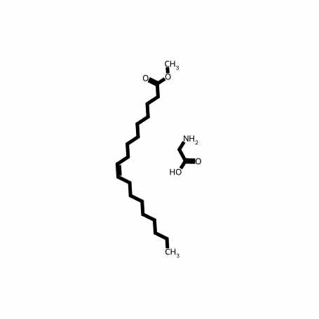 CCCCCCCC/C=C\CCCCCCCC(=O)OC.NCC(=O)O